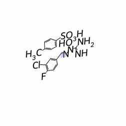 Cc1ccc(S(=O)(=O)O)cc1.N=C(N)N(O)/N=C/c1ccc(F)c(Cl)c1